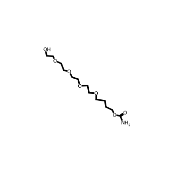 NC(=O)OCCCCOCCOCCOCCOCCO